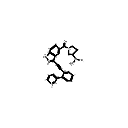 CN(C)C1CCN(C(=O)c2ccc3[nH]nc(C#Cc4ccccc4-c4cccnc4)c3c2)C1